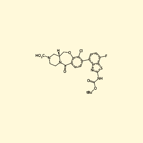 CC(C)(C)OC(=O)Nc1nc2c(-c3ccc4c(c3Cl)OC[C@H]3CN(C(=O)O)CCN3C4=O)ccc(F)c2s1